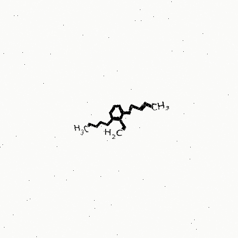 [CH2]Cc1c(CCCCC)cccc1CCCCC